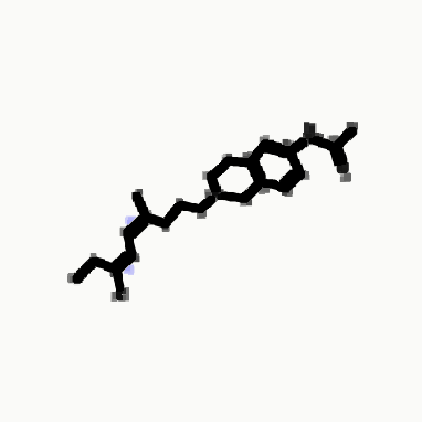 CC/C(Cl)=C\C=C(\C)CCCN1CCc2cc(NC(C)=O)ccc2C1